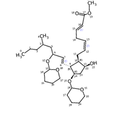 CCCC(C)CC(/C=C/[C@@H]1[C@@H](C/C=C\C/C=C/C(=O)OC)[C@@H](O)C[C@H]1OC1CCCCO1)OC1CCCCO1